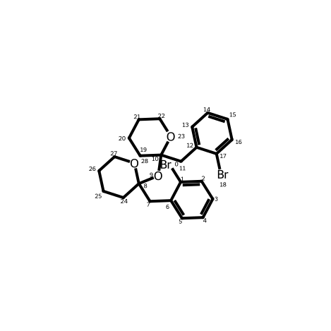 Brc1ccccc1CC1(OC2(Cc3ccccc3Br)CCCCO2)CCCCO1